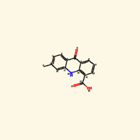 Cc1ccc2c(=O)c3cccc(C(=O)O)c3[nH]c2c1